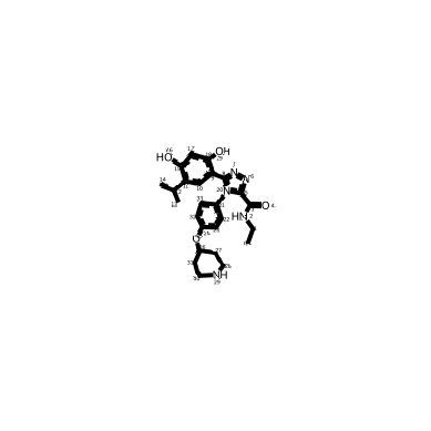 CCNC(=O)c1nnc(-c2cc(C(C)C)c(O)cc2O)n1-c1ccc(OC2CCNCC2)cc1